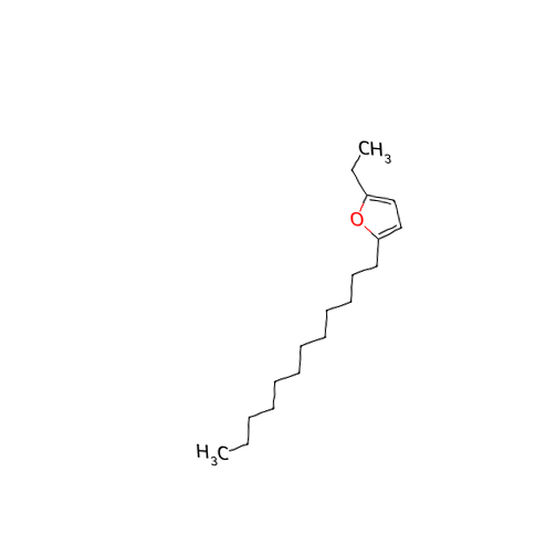 CCCCCCCCCCCCc1ccc(CC)o1